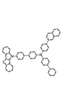 c1ccc(-c2ccc(N(c3ccc(-c4ccc(-n5c6ccccc6c6sc7ccccc7c65)cc4)cc3)c3ccc(-c4ccc5ccccc5c4)cc3)cc2)cc1